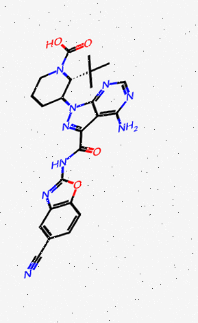 CC(C)(C)[C@@H]1C(n2nc(C(=O)Nc3nc4cc(C#N)ccc4o3)c3c(N)ncnc32)CCCN1C(=O)O